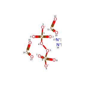 O=S(=O)([O-])OOS(=O)(=O)[O-].O=S=O.O=S=O.[N+].[N+]